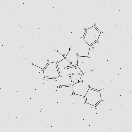 C[C@H](NP(=O)(Oc1ccccc1)Oc1ccc(I)cc1C(F)(F)F)C(=O)OCc1ccccc1